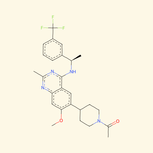 COc1cc2nc(C)nc(N[C@H](C)c3cccc(C(F)(F)F)c3)c2cc1C1CCN(C(C)=O)CC1